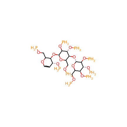 POCC1OC=C[C@@H](OP)[C@@H]1O[C@@H]1OC(COP)[C@H](O[C@H]2OC(COP)[C@H](OP)[C@@H](OP)C2OP)[C@@H](OP)C1OP